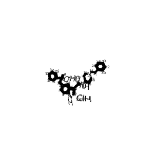 CC(O)(Cc1ccc2[nH]cc(C(=O)NC3CCN(CCc4ccccc4)CC3)c2c1)c1ccccc1.Cl